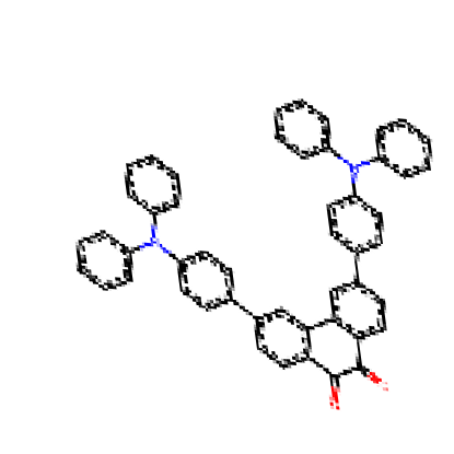 O=C1C(=O)c2ccc(-c3ccc(N(c4ccccc4)c4ccccc4)cc3)cc2-c2cc(-c3ccc(N(c4ccccc4)c4ccccc4)cc3)ccc21